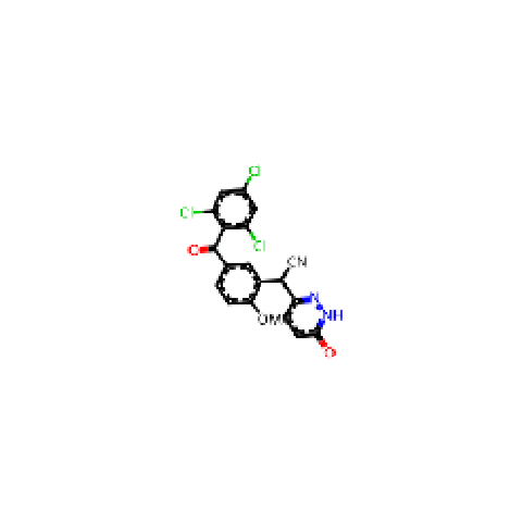 COc1ccc(C(=O)c2c(Cl)cc(Cl)cc2Cl)cc1C(C#N)c1ccc(=O)[nH]n1